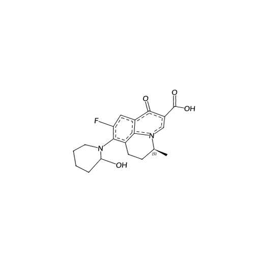 C[C@H]1CCc2c(N3CCCCC3O)c(F)cc3c(=O)c(C(=O)O)cn1c23